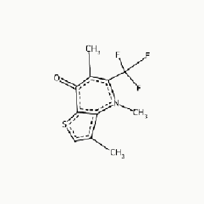 Cc1c(C(F)(F)F)n(C)c2c(C)csc2c1=O